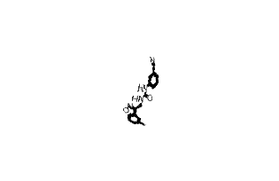 Cc1ccc2onc(CNC(=O)Nc3cccc(C#N)c3)c2c1